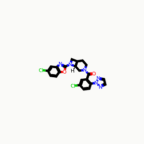 O=C(c1cc(Cl)ccc1-n1nccn1)N1CCC2CN(c3nc4cc(Cl)ccc4o3)[C@@H]2C1